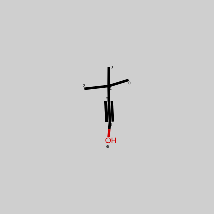 CC(C)(C)C#CO